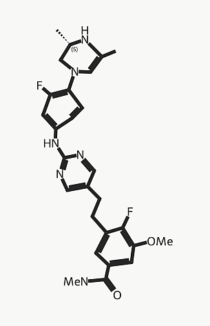 CNC(=O)c1cc(CCc2cnc(Nc3ccc(N4C=C(C)N[C@@H](C)C4)c(F)c3)nc2)c(F)c(OC)c1